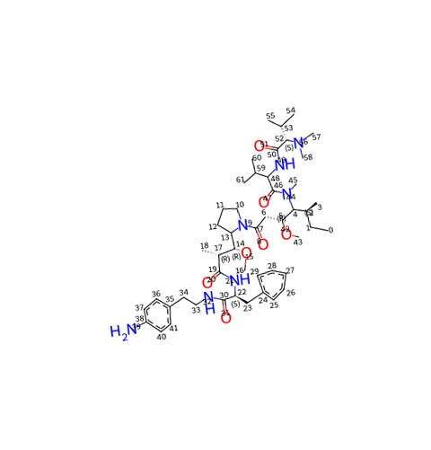 CC[C@H](C)C([C@@H](CC(=O)N1CCCC1[C@H](OC)[C@@H](C)C(=O)N[C@@H](Cc1ccccc1)C(=O)NCCc1ccc(N)cc1)OC)N(C)C(=O)C(NC(=O)[C@H](C(C)C)N(C)C)C(C)C